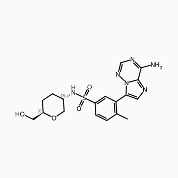 Cc1ccc(S(=O)(=O)N[C@H]2CC[C@H](CO)OC2)cc1-c1cnc2c(N)ncnn12